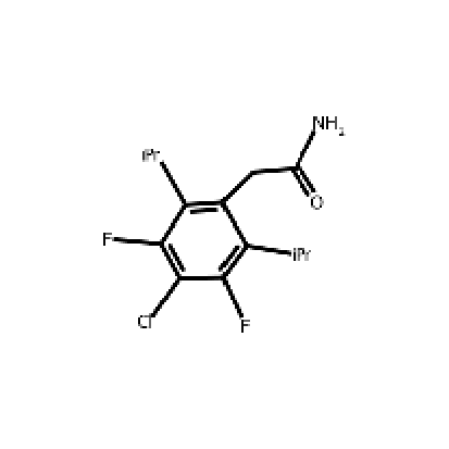 CC(C)c1c(F)c(Cl)c(F)c(C(C)C)c1CC(N)=O